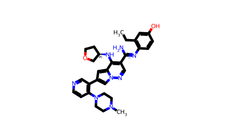 CCc1cc(O)ccc1/N=C(\N)c1cnn2cc(-c3cnccc3N3CCN(C)CC3)cc2c1N[C@@H]1CCOC1